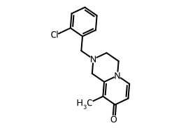 Cc1c2n(ccc1=O)CCN(Cc1ccccc1Cl)C2